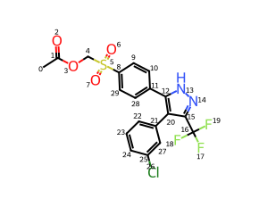 CC(=O)OCS(=O)(=O)c1ccc(-c2[nH]nc(C(F)(F)F)c2-c2cccc(Cl)c2)cc1